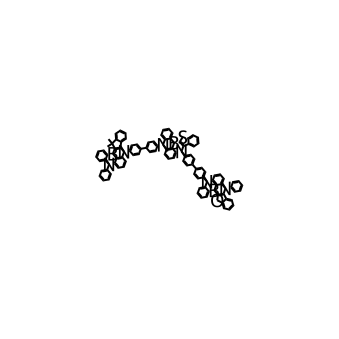 CC1(C)C2=C(c3ccccc31)N(c1ccc(-c3ccc(N4c5ccccc5B5c6sc7ccccc7c6N(c6ccc(-c7ccc(N8c9ccccc9B9c%10oc%11ccccc%11c%10N(c%10ccccc%10)c%10cccc8c%109)cc7)cc6)c6cccc4c65)cc3)cc1)c1cccc3c1B2c1ccccc1N3c1ccccc1